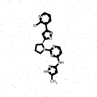 Cc1cc(Nc2ccnc(N3CCC[C@H]3c3cc(-c4cccnc4Cl)no3)n2)n[nH]1